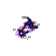 CC(C)CC(NC(=O)C(Cc1ccccc1)NC(=O)CNC(=O)C(N)Cc1cn(CCCC(C)(C)C)nn1)C(=O)NC[C@@H](CC(=O)O)C(=O)N[C@@H](CC(=O)O)C(=O)NCC(=O)NCCCCC1C(=O)NC(CCCNC=N)C(=O)N[C@@H](CC(=O)O)C(=O)NCC(=O)N1C(=O)CN